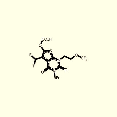 CCCn1c(=O)c2c(C(F)F)c(OC(=O)O)sc2n(CCOC(F)(F)F)c1=O